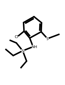 CC[Si](CC)(CC)Nc1c(Cl)cccc1SC